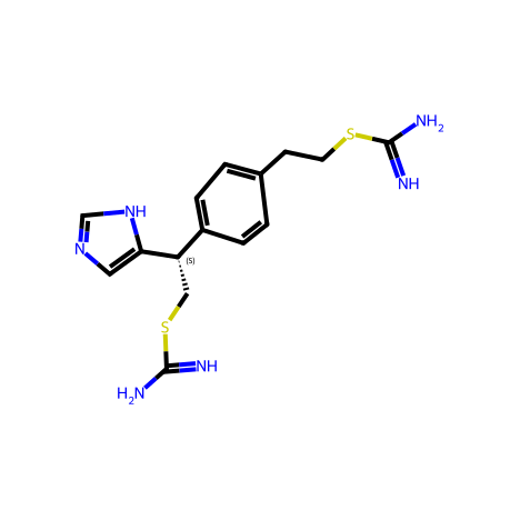 N=C(N)SCCc1ccc([C@H](CSC(=N)N)c2cnc[nH]2)cc1